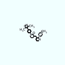 Cc1noc(C)c1-c1ccc(N2CCCC(=Cc3cccnc3N3CCN(C)CC3)C2=O)cc1